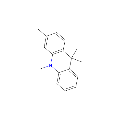 Cc1ccc2c(c1)N(C)c1ccccc1C2(C)C